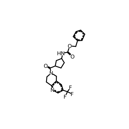 O=C(NC1CCC(C(=O)N2CCc3ncc(C(F)(F)F)cc3C2)C1)OCc1ccccc1